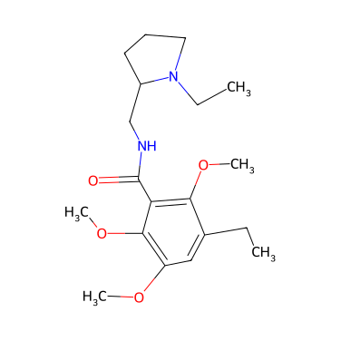 CCc1cc(OC)c(OC)c(C(=O)NCC2CCCN2CC)c1OC